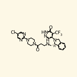 O=C(CCNC[C@H]1c2ccccc2CN1c1cn[nH]c(=O)c1C(F)(F)F)N1CCN(c2ncc(Cl)cn2)CC1